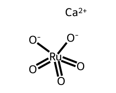 [Ca+2].[O]=[Ru](=[O])(=[O])([O-])[O-]